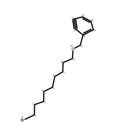 BrCCCCCCCCCOCc1c#cccc1